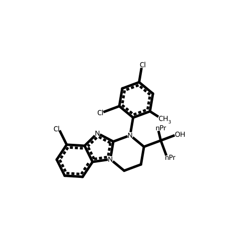 CCCC(O)(CCC)C1CCn2c(nc3c(Cl)cccc32)N1c1c(C)cc(Cl)cc1Cl